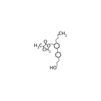 C=CCCc1ccc(-c2ccc(CCCO)cc2)cc1COC(=O)C(=C)C